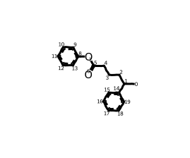 CC(CCCC(=O)Oc1ccccc1)c1ccccc1